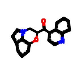 O=C(c1ccnc2ccccc12)C1Cn2ccc3cccc(c32)O1